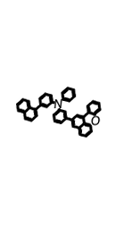 c1ccc(N(c2cccc(-c3cc4c5c(cccc5c3)Oc3ccccc3-4)c2)c2cccc(-c3cccc4ccccc34)c2)cc1